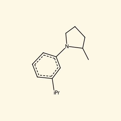 CC(C)c1cccc(N2CCCC2C)c1